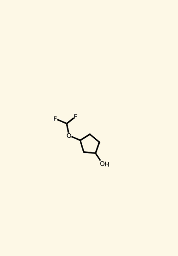 OC1CCC(OC(F)F)C1